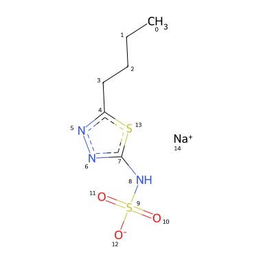 CCCCc1nnc(NS(=O)(=O)[O-])s1.[Na+]